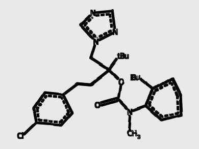 CCC(C)c1ccccc1N(C)C(=O)OC(CCc1ccc(Cl)cc1)(Cn1cncn1)C(C)(C)C